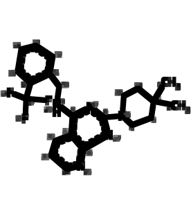 CC1(C)CCN(c2nc(NCc3ccccc3C(F)(F)F)c3cccnc3n2)CC1